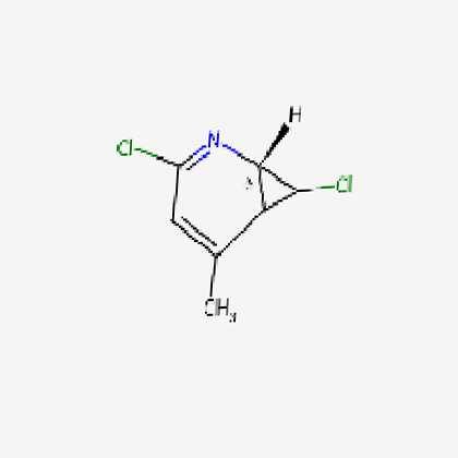 CC1=CC(Cl)=N[C@@H]2C(Cl)C12